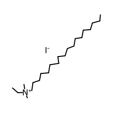 CCCCCCCCCCCCCCCCCC[N+](C)(C)CC.[I-]